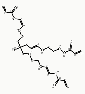 C=CC(=O)O/C=C\OOCC(CC)(C/C=C/OCCOOC(=O)C=C)COCCO/C=C/OC(=O)C=C